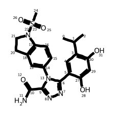 CC(C)c1cc(-c2nnc(C(N)=O)n2-c2ccc3c(c2)CCN3S(C)(=O)=O)c(O)cc1O